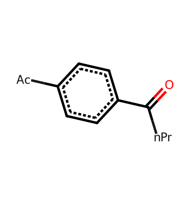 [CH2]CCC(=O)c1ccc(C(C)=O)cc1